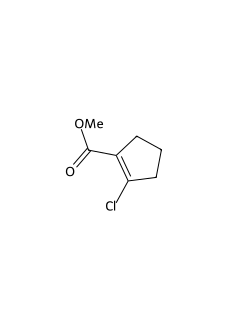 COC(=O)C1=C(Cl)CCC1